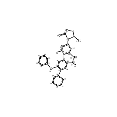 CCC1COC(=O)N1c1nc(C)nc(N[C@@H](C)c2ccc(Oc3ccccc3)c(-c3ccccc3)c2)n1